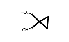 O=CC1(C(=O)O)CC1